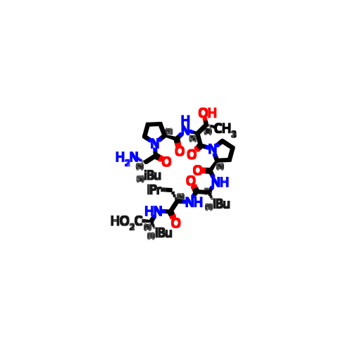 CC[C@H](C)[C@H](N)C(=O)N1CCC[C@H]1C(=O)N[C@H](C(=O)N1CCC[C@H]1C(=O)N[C@H](C(=O)N[C@@H](CC(C)C)C(=O)N[C@H](C(=O)O)[C@@H](C)CC)[C@@H](C)CC)[C@@H](C)O